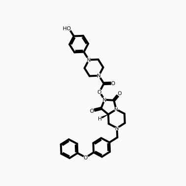 O=C(ON1C(=O)[C@H]2CN(Cc3ccc(Oc4ccccc4)cc3)CCN2C1=O)N1CCN(c2ccc(O)cc2)CC1